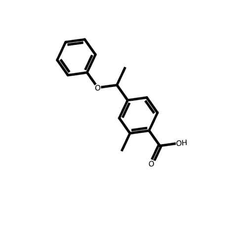 Cc1cc(C(C)Oc2ccccc2)ccc1C(=O)O